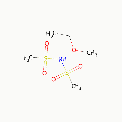 CCOC.O=S(=O)(NS(=O)(=O)C(F)(F)F)C(F)(F)F